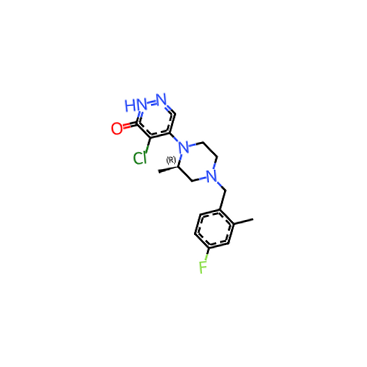 Cc1cc(F)ccc1CN1CCN(c2cn[nH]c(=O)c2Cl)[C@H](C)C1